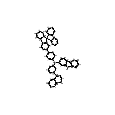 c1ccc(C2(c3ccccc3)c3ccccc3-c3ccc(-c4ccc(N(c5cccc(-c6cccc7ccccc67)c5)c5ccc6c(c5)sc5ccccc56)cc4)cc32)cc1